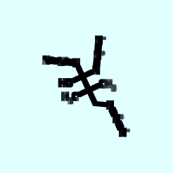 CC(C)(CN=[N+]=[N-])C(O)(N=[N+]=[N-])N=[N+]=[N-]